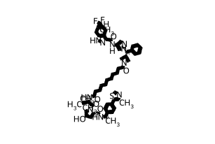 Cc1ncsc1-c1ccc([C@H](C)NC(=O)[C@@H]2C[C@@H](O)CN2C(=O)[C@@H](NC(=O)CCCCCCCCCC(=O)N2CC([C@@H](c3ccccc3)n3cc(NC(=O)c4n[nH]c5c4C[C@@H]4C(F)(F)[C@]4(C)C5)cn3)C2)C(C)(C)C)cc1